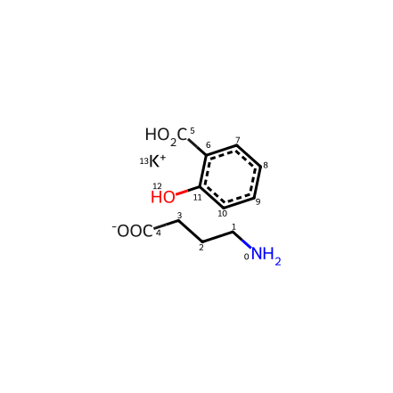 NCCCC(=O)[O-].O=C(O)c1ccccc1O.[K+]